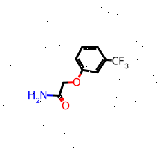 NC(=O)COc1cccc(C(F)(F)F)c1